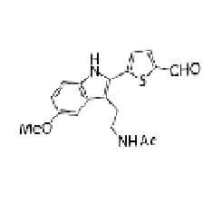 COc1ccc2[nH]c(-c3ccc(C=O)s3)c(CCNC(C)=O)c2c1